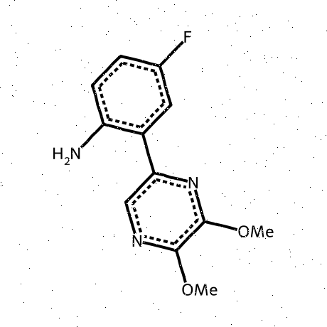 COc1ncc(-c2cc(F)ccc2N)nc1OC